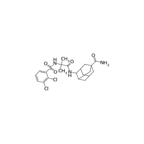 CC(C)(NS(=O)(=O)c1cccc(Cl)c1Cl)C(=O)NC1C2CC3CC1CC(C(N)=O)(C3)C2